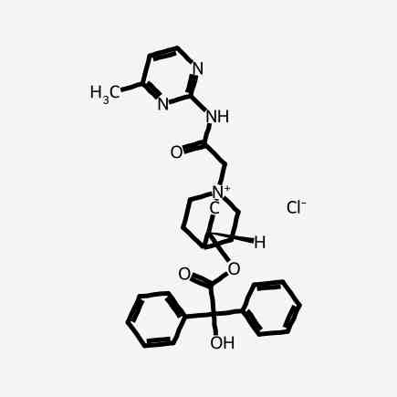 Cc1ccnc(NC(=O)C[N+]23CCC(CC2)[C@@H](OC(=O)C(O)(c2ccccc2)c2ccccc2)C3)n1.[Cl-]